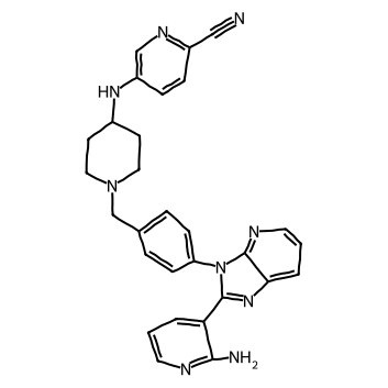 N#Cc1ccc(NC2CCN(Cc3ccc(-n4c(-c5cccnc5N)nc5cccnc54)cc3)CC2)cn1